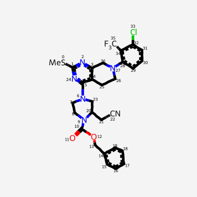 CSc1nc2c(c(N3CCN(C(=O)OCc4ccccc4)C(CC#N)C3)n1)CCN(c1cccc(Cl)c1C(F)(F)F)C2